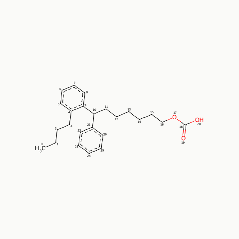 CCCCc1ccccc1C(CCCCCCOC(=O)O)c1ccccc1